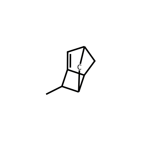 CC1C2=CC3CC2C1C3